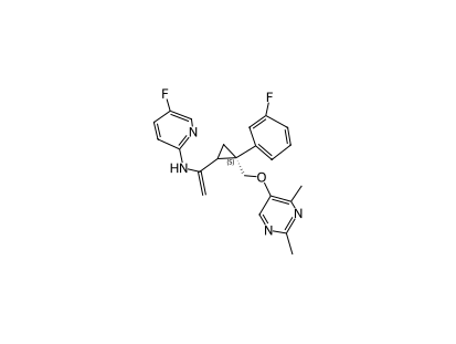 C=C(Nc1ccc(F)cn1)C1C[C@@]1(COc1cnc(C)nc1C)c1cccc(F)c1